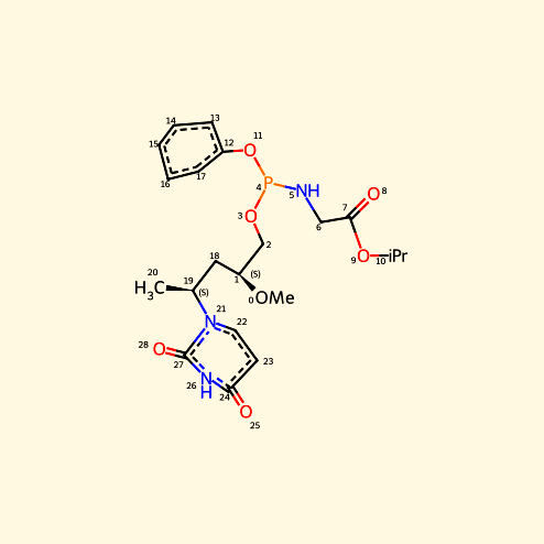 CO[C@H](COP(NCC(=O)OC(C)C)Oc1ccccc1)C[C@H](C)n1ccc(=O)[nH]c1=O